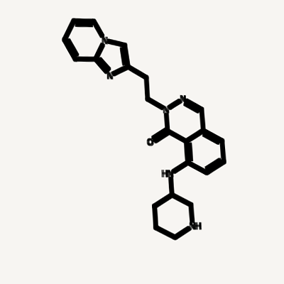 O=c1c2c(NC3CCCNC3)cccc2cnn1CCc1cn2ccccc2n1